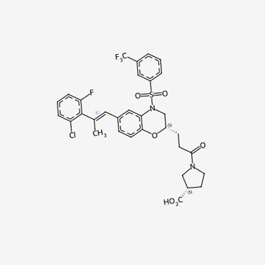 C/C(=C\c1ccc2c(c1)N(S(=O)(=O)c1cccc(C(F)(F)F)c1)C[C@H](CCC(=O)N1CC[C@H](C(=O)O)C1)O2)c1c(F)cccc1Cl